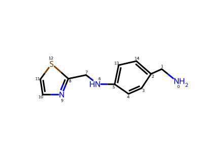 NCc1ccc(NCc2nccs2)cc1